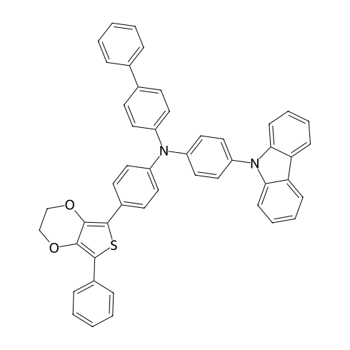 c1ccc(-c2ccc(N(c3ccc(-c4sc(-c5ccccc5)c5c4OCCO5)cc3)c3ccc(-n4c5ccccc5c5ccccc54)cc3)cc2)cc1